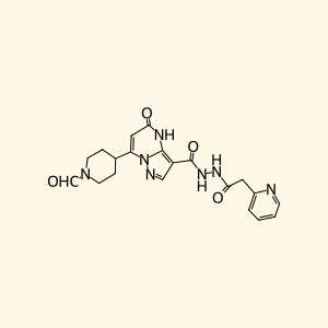 O=CN1CCC(c2cc(=O)[nH]c3c(C(=O)NNC(=O)Cc4ccccn4)cnn23)CC1